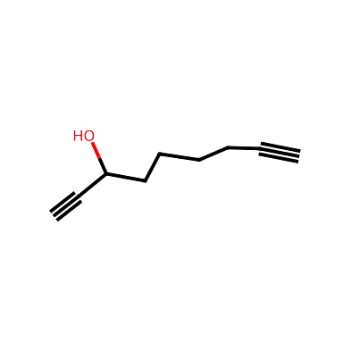 C#CCCCCC(O)C#C